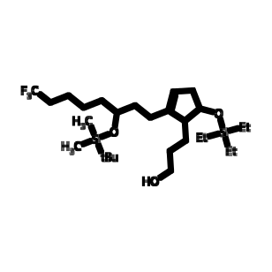 CC[Si](CC)(CC)OC1CC=C(CCC(CCCCC(F)(F)F)O[Si](C)(C)C(C)(C)C)C1CCCO